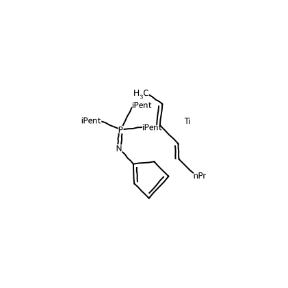 CC=CC=CCCC.CCCC(C)P(=NC1=CC=CC1)(C(C)CCC)C(C)CCC.[Ti]